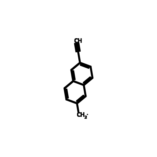 C#Cc1ccc2cc([CH2])ccc2c1